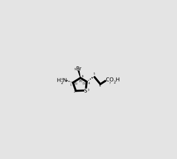 N[C@H]1CS[C@@H](CCC(=O)O)[C@@H]1Br